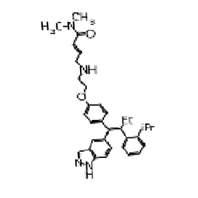 CCC(=C(c1ccc(OCCNCC=CC(=O)N(C)C)cc1)c1ccc2[nH]ncc2c1)c1ccccc1C(C)C